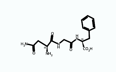 NC(=O)C[C@H](N)C(=O)NCC(=O)N[C@@H](Cc1ccccc1)C(=O)O